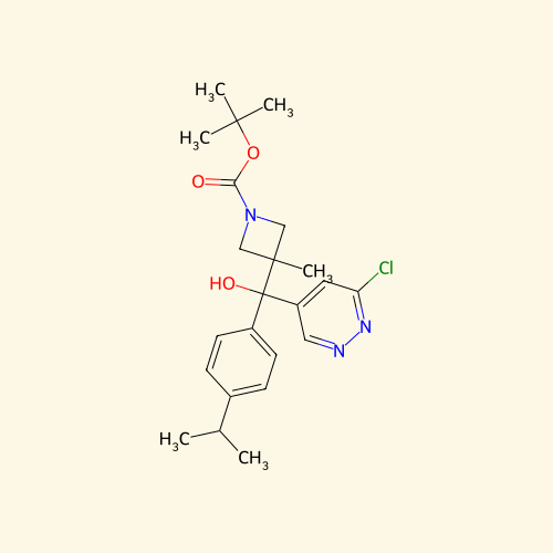 CC(C)c1ccc(C(O)(c2cnnc(Cl)c2)C2(C)CN(C(=O)OC(C)(C)C)C2)cc1